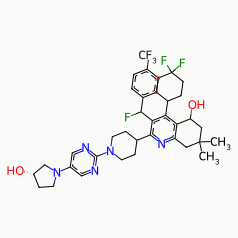 CC1(C)Cc2nc(C3CCN(c4ncc(N5CC[C@H](O)C5)cn4)CC3)c(C(F)c3ccc(C(F)(F)F)cc3)c(C3CCC(F)(F)CC3)c2C(O)C1